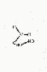 O=NO.[O-][S+](Cl)Cl